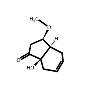 CO[C@@H]1CC(=O)[C@@]2(O)CC=CC[C@H]12